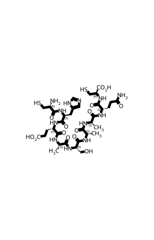 C[C@H](NC(=O)[C@H](C)NC(=O)[C@H](CO)NC(=O)[C@H](C)NC(=O)[C@H](CCC(=O)O)NC(=O)[C@H](Cc1cnc[nH]1)NC(=O)[C@@H](N)CS)C(=O)N[C@@H](CCC(N)=O)C(=O)N[C@@H](CS)C(=O)O